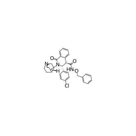 O=C(NOCc1ccccc1)[C@@H]1c2ccccc2C(=O)N([C@H]2CN3CCC2CC3)[C@H]1c1ccc(Cl)cc1